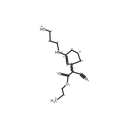 CCCOC(=O)/C(C#N)=C1\C=C(NCCCO)CCC1